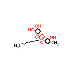 CCCCCCCCCN(S(=O)(=O)c1ccc(C)c(O)c1)S(=O)(=O)c1ccc(O)c(O)c1